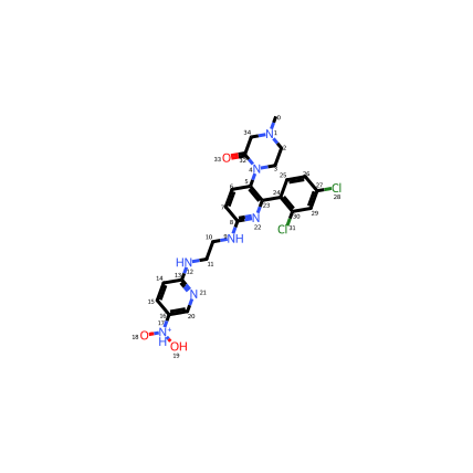 CN1CCN(c2ccc(NCCNc3ccc([NH+]([O-])O)cn3)nc2-c2ccc(Cl)cc2Cl)C(=O)C1